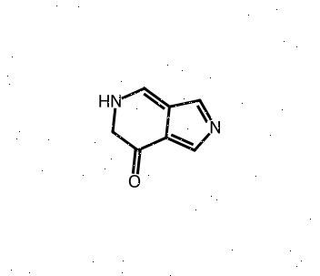 O=C1CNC=C2C=NC=C12